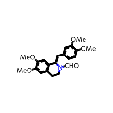 COc1ccc(C=C2c3cc(OC)c(OC)cc3CCN2C=O)cc1OC